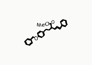 COC(=O)C(C/C=C/c1ccccc1)CCc1ccc(OCc2ccccc2)cc1